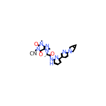 C[C@@H](C(=O)Nc1cccc(-c2ccc(N3CC4CC4C3)nc2)n1)n1cnc2c1c(=O)n(CC#N)c(=O)n2C